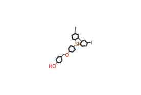 Oc1ccc(COc2ccc([SH]3c4ccc(I)cc4-c4cc(I)ccc43)cc2)cc1